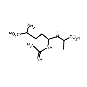 CC(NC(CCC(N)C(=O)O)NC(=N)N)C(=O)O